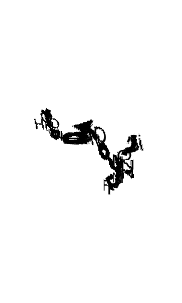 CC(C)(C)OC(=O)N[C@@H]1CCN(c2cccc(C3(C(=O)Nc4ccc(-c5cc6c(N7CCC(F)(F)CC7)ncnc6n5COCC[Si](C)(C)C)cc4)CC3)c2)C1